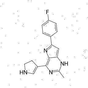 Cc1nc(C2=CNCC2)c2nc(-c3ccc(F)cc3)cc-2[nH]1